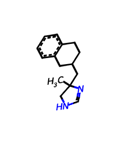 CC1(CC2CCc3ccccc3C2)CNC=N1